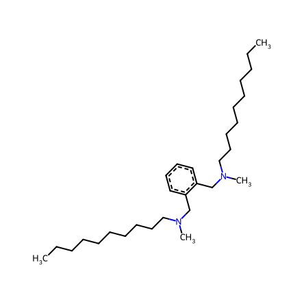 CCCCCCCCCCN(C)Cc1ccccc1CN(C)CCCCCCCCCC